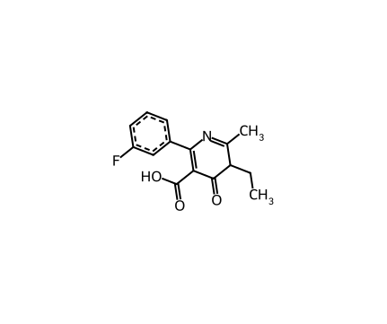 CCC1C(=O)C(C(=O)O)=C(c2cccc(F)c2)N=C1C